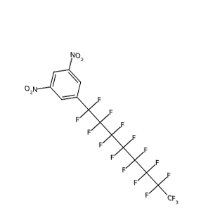 O=[N+]([O-])c1cc([N+](=O)[O-])cc(C(F)(F)C(F)(F)C(F)(F)C(F)(F)C(F)(F)C(F)(F)C(F)(F)C(F)(F)F)c1